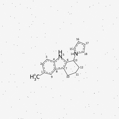 Cc1ccc2[nH]c3c(c2c1)CCCC3n1cccc1